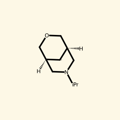 CC(C)N1C[C@@H]2[CH][C@@H](COC2)C1